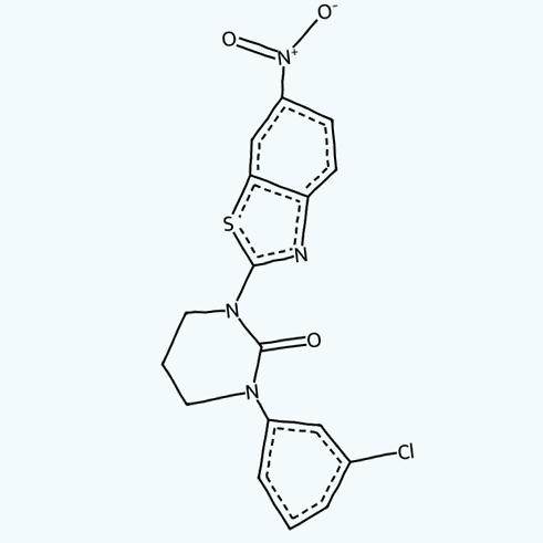 O=C1N(c2cccc(Cl)c2)CCCN1c1nc2ccc([N+](=O)[O-])cc2s1